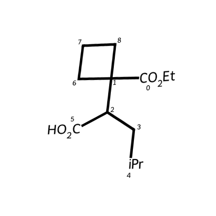 CCOC(=O)C1(C(CC(C)C)C(=O)O)CCC1